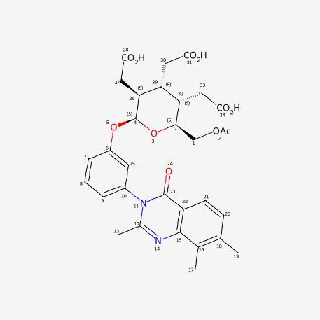 CC(=O)OC[C@H]1O[C@@H](Oc2cccc(-n3c(C)nc4c(C)c(C)ccc4c3=O)c2)[C@@H](CC(=O)O)[C@H](CC(=O)O)[C@@H]1CC(=O)O